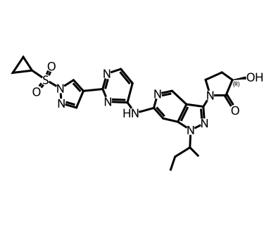 CCC(C)n1nc(N2CC[C@@H](O)C2=O)c2cnc(Nc3ccnc(-c4cnn(S(=O)(=O)C5CC5)c4)n3)cc21